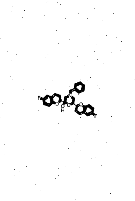 OC1([C@H]2CCc3cc(F)ccc3O2)CN(Cc2ccccc2)CC([C@H]2CCc3cc(F)ccc3O2)O1